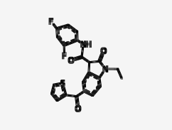 CCN1C(=O)C(C(=O)Nc2ccc(F)cc2F)c2cc(C(=O)c3cccs3)ccc21